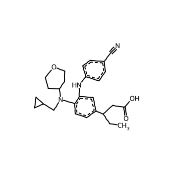 CCC(CC(=O)O)c1ccc(N(CC2CC2)C2CCOCC2)c(Nc2ccc(C#N)cc2)c1